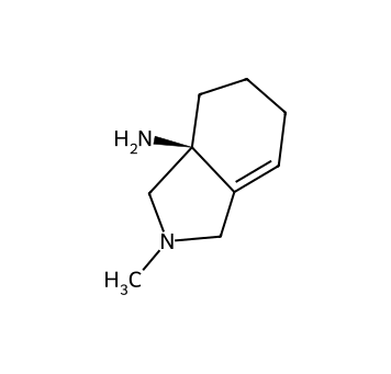 CN1CC2=CCCC[C@@]2(N)C1